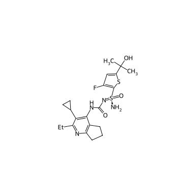 CCc1nc2c(c(NC(=O)N=[S@@](N)(=O)c3sc(C(C)(C)O)cc3F)c1C1CC1)CCC2